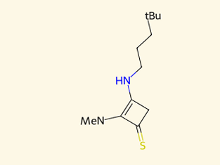 CNC1=C(NCCCC(C)(C)C)CC1=S